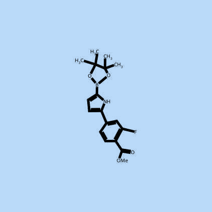 COC(=O)c1ccc(-c2ccc(B3OC(C)(C)C(C)(C)O3)[nH]2)cc1F